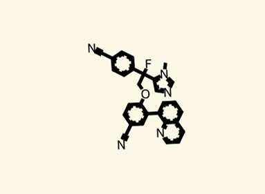 Cn1cncc1C(F)(COc1ccc(C#N)cc1-c1cccc2cccnc12)c1ccc(C#N)cc1